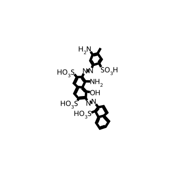 Cc1cc(S(=O)(=O)O)c(N=Nc2c(S(=O)(=O)O)cc3cc(S(=O)(=O)O)c(N=Nc4ccc5ccccc5c4S(=O)(=O)O)c(O)c3c2N)cc1N